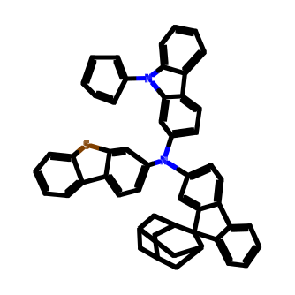 c1ccc(-n2c3ccccc3c3ccc(N(c4ccc5c(c4)C4(c6ccccc6-5)C5CC6CC(C5)CC4C6)c4ccc5c(c4)sc4ccccc45)cc32)cc1